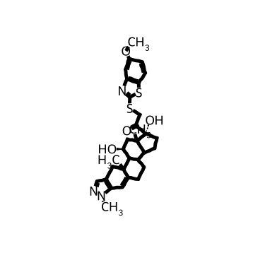 COc1ccc2sc(SCC(=O)[C@@]3(O)CCC4C5CCC6=Cc7c(cnn7C)CC6(C)C5[C@@H](O)CC43C)nc2c1